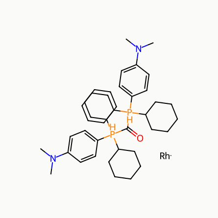 CN(C)c1ccc([PH](C(=O)[PH](c2ccc(N(C)C)cc2)(C2CCCCC2)C2CCCCC2)(C2CCCCC2)C2CCCCC2)cc1.[Rh]